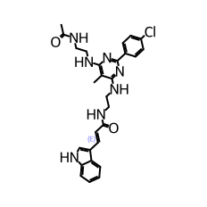 CC(=O)NCCNc1nc(-c2ccc(Cl)cc2)nc(NCCNC(=O)/C=C/c2c[nH]c3ccccc23)c1C